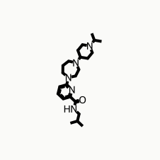 CC(C)CNC(=O)c1cccc(N2CCCN(C3CCN(C(C)C)CC3)CC2)n1